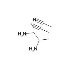 CC#N.CC#N.CC(N)CN